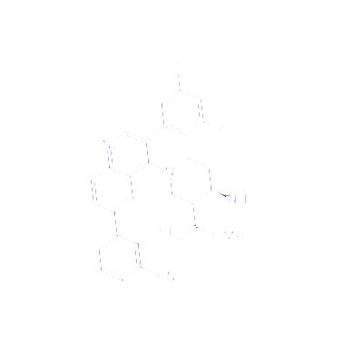 COC(=O)C1CN(c2c(-c3cc(F)cc(F)c3)cnc3ccc(-c4cccc(C#N)c4O)cc23)CC[C@H]1N